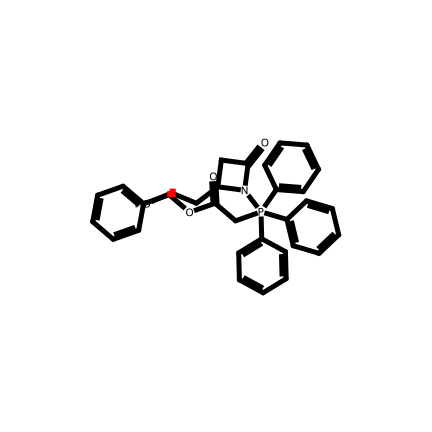 O=C(CP(c1ccccc1)(c1ccccc1)(c1ccccc1)N1C(=O)CC1CCO)OCc1ccccc1